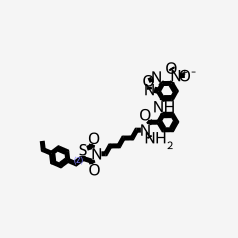 CCc1ccc(/C=C2\SC(=O)N(CCCCCCN(N)C(=O)c3ccccc3Nc3ccc([N+](=O)[O-])c4nonc34)C2=O)cc1